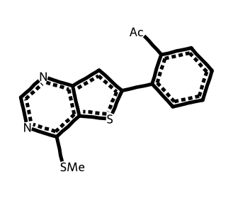 CSc1ncnc2cc(-c3ccccc3C(C)=O)sc12